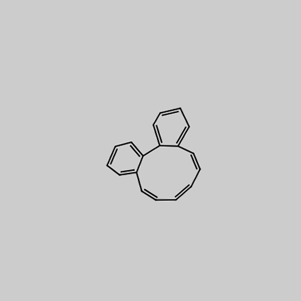 c1cccc2ccccc2c2ccccc2cc1